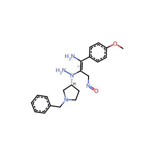 COc1ccc(/C(N)=C(\CN=O)N(N)[C@@H]2CCN(Cc3ccccc3)C2)cc1